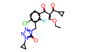 CCOC=C(C(=O)c1ccc(Cl)c(Cn2nnn(C3CC3)c2=O)c1F)C(=O)C1CC1